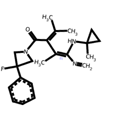 C=N/C(NC1(C)CC1)=C(\C)C(C(=O)N1CC(F)(c2ccccc2)C1)=C(C)C